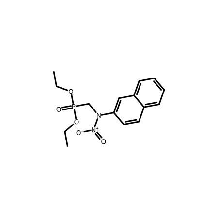 CCOP(=O)(CN(c1ccc2ccccc2c1)[N+](=O)[O-])OCC